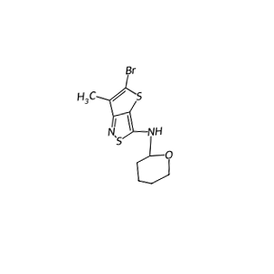 Cc1c(Br)sc2c(NC3CCCCO3)snc12